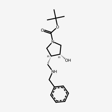 CC(C)(C)OC(=O)N1C[C@@H](CNCc2ccccc2)[C@@H](O)C1